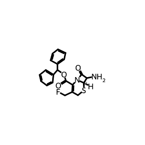 NC1C(=O)N2C(C(=O)OC(c3ccccc3)c3ccccc3)=C(CF)CS[C@@H]12